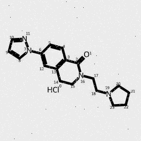 Cl.O=C1c2ccc(-n3cccn3)cc2CCN1CCN1CCCC1